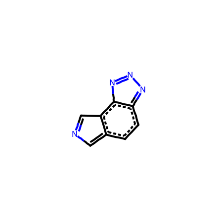 C1=NC=c2ccc3c(c21)N=NN=3